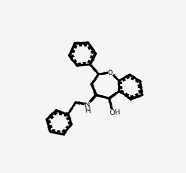 OC1c2ccccc2OC(c2ccccc2)CC1NCc1ccccc1